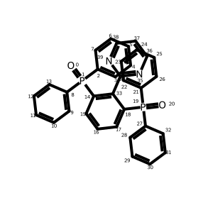 O=P(c1ccccc1)(c1ccccc1)c1cccc(P(=O)(c2ccccc2)c2ccccc2)c1-c1ncccn1